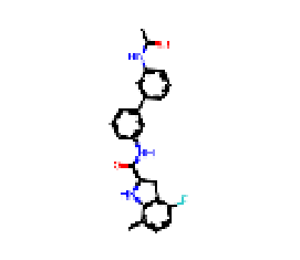 CC(=O)Nc1cccc(-c2cccc(NC(=O)C3Cc4c(F)ccc(C)c4N3)c2)c1